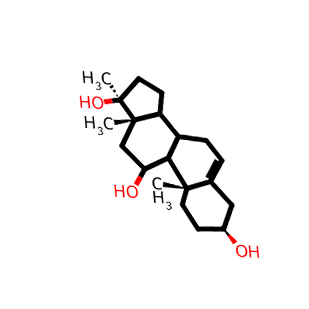 C[C@]12CC[C@H](O)CC1=CCC1C2C(O)C[C@@]2(C)C1CC[C@]2(C)O